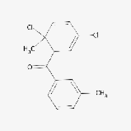 Cc1cccc(C(=O)C2C=C(Cl)C=CC2(C)Cl)c1